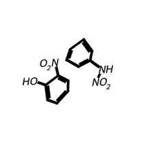 O=[N+]([O-])Nc1ccccc1.O=[N+]([O-])c1ccccc1O